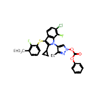 CCOC(=O)c1cccc(Sc2c(C3CC3)n(-c3cn(OC(=O)Oc4ccccc4)nc3CC)c3c(F)c(Cl)ccc23)c1F